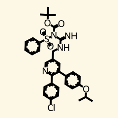 CC(C)Oc1ccc(-c2cc(CNC(=N)N(C(=O)OC(C)(C)C)S(=O)(=O)c3ccccc3)cnc2-c2ccc(Cl)cc2)cc1